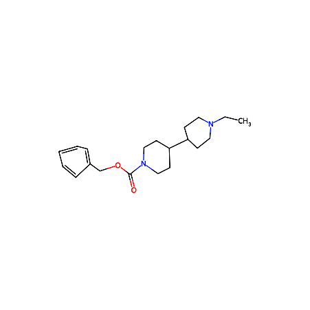 CCN1CCC(C2CCN(C(=O)OCc3ccccc3)CC2)CC1